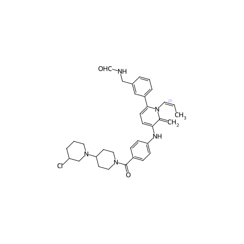 C=C1C(Nc2ccc(C(=O)N3CCC(N4CCCC(Cl)C4)CC3)cc2)=CC=C(c2cccc(CNC=O)c2)N1/C=C\C